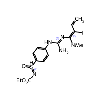 C=C/C(I)=C(\N=C(/N)Nc1ccc(/[SH](=O)=N/C(=O)OCC)cc1)NC